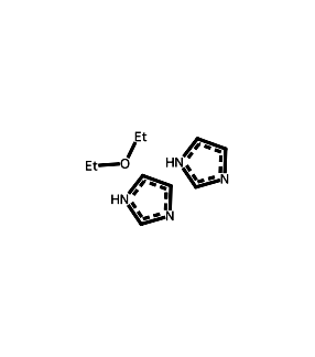 CCOCC.c1c[nH]cn1.c1c[nH]cn1